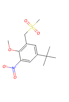 COc1c(CS(C)(=O)=O)cc(C(C)(C)C)cc1[N+](=O)[O-]